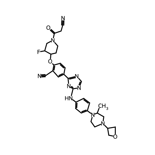 CC1CN(C2COC2)CCN1c1ccc(Nc2ncnc(-c3ccc(OC4CCN(C(=O)CC#N)CC4F)c(C#N)c3)n2)cc1